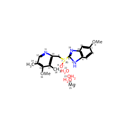 COc1ccc2[nH]c([S@@+]([O-])Cc3ncc(C)c(OC)c3C)nc2c1.O.O.O.[Mg]